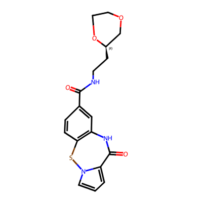 O=C(NCC[C@@H]1COCCO1)c1ccc2c(c1)NC(=O)c1cccn1S2